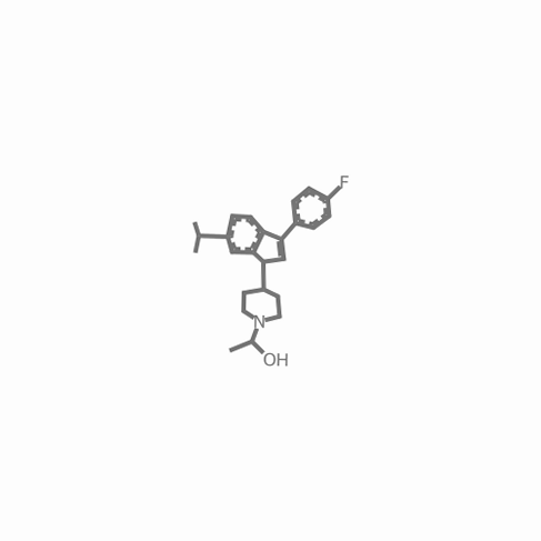 CC(C)c1ccc2c(c1)C(C1CCN(C(C)O)CC1)C=C2c1ccc(F)cc1